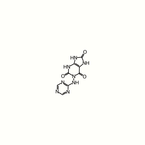 O=c1[nH]c2[nH]c(=O)n(Nc3ncncn3)c(=O)c2[nH]1